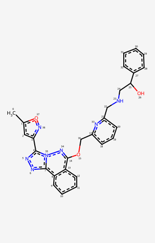 Cc1cc(-c2nnc3c4ccccc4c(OCc4cccc(CNCC(O)c5ccccc5)n4)nn23)no1